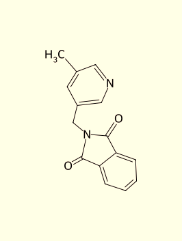 Cc1cncc(CN2C(=O)c3ccccc3C2=O)c1